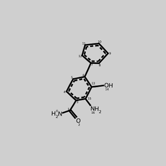 NC(=O)c1ccc(-c2ccccc2)c(O)c1N